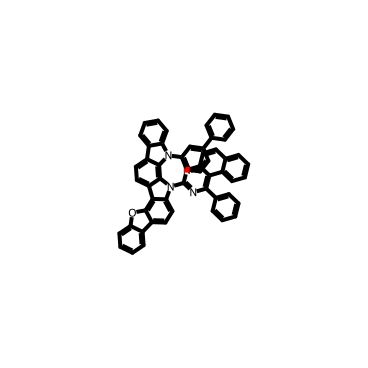 c1ccc(-c2cccc(-n3c4ccccc4c4ccc5c6c7oc8ccccc8c7ccc6n(-c6nc(-c7ccccc7)c7c(ccc8ccccc87)n6)c5c43)c2)cc1